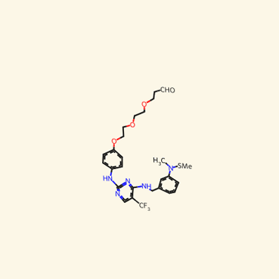 CSN(C)c1cccc(CNc2nc(Nc3ccc(OCCOCCOCCC=O)cc3)ncc2C(F)(F)F)c1